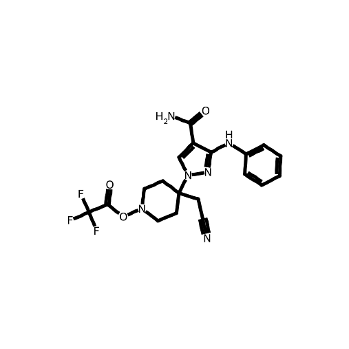 N#CCC1(n2cc(C(N)=O)c(Nc3ccccc3)n2)CCN(OC(=O)C(F)(F)F)CC1